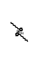 CCCCCCCCc1ccccc1P(=O)(O)c1ccccc1CCCCCCCC